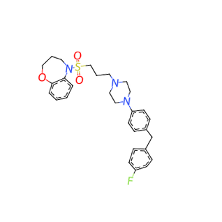 O=S(=O)(CCCN1CCN(c2ccc(Cc3ccc(F)cc3)cc2)CC1)N1CCCOc2ccccc21